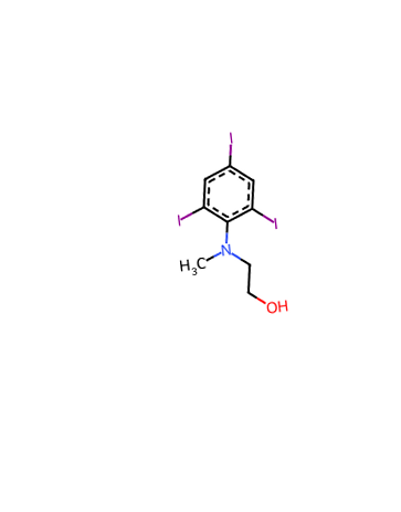 CN(CCO)c1c(I)cc(I)cc1I